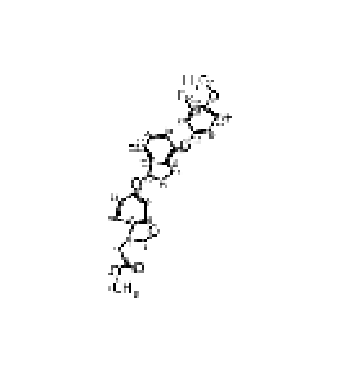 COC(=O)CC1COc2cc(O[C@@H]3CCc4c(Oc5cc(F)c(OC)c(F)c5)ccc(F)c43)ccc21